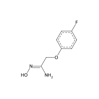 N/C(COc1ccc(F)cc1)=N\O